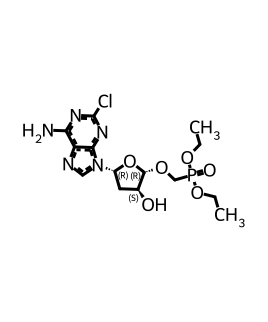 CCOP(=O)(CO[C@H]1O[C@@H](n2cnc3c(N)nc(Cl)nc32)C[C@@H]1O)OCC